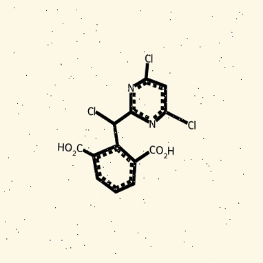 O=C(O)c1cccc(C(=O)O)c1C(Cl)c1nc(Cl)cc(Cl)n1